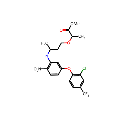 COC(=O)C(C)OCCC(C)Nc1cc(Oc2ccc(C(F)(F)F)cc2Cl)ccc1[N+](=O)[O-]